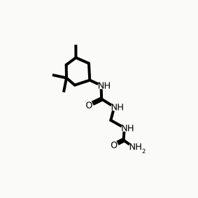 CC1CC(NC(=O)NCNC(N)=O)CC(C)(C)C1